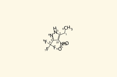 CCc1[nH]nc(C(F)(F)F)c1[N+](=O)[O-]